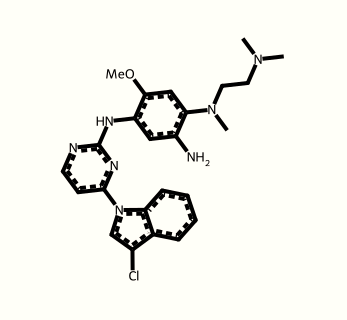 COc1cc(N(C)CCN(C)C)c(N)cc1Nc1nccc(-n2cc(Cl)c3ccccc32)n1